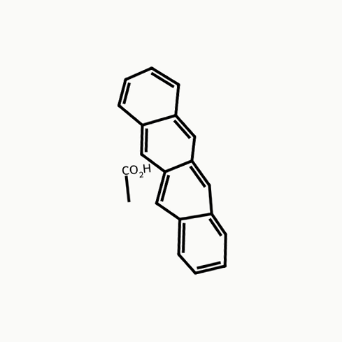 CC(=O)O.c1ccc2cc3cc4ccccc4cc3cc2c1